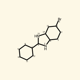 BrC1CCC2NC(C3CCCCC3)NC2C1